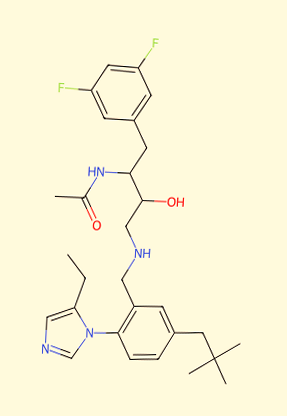 CCc1cncn1-c1ccc(CC(C)(C)C)cc1CNCC(O)C(Cc1cc(F)cc(F)c1)NC(C)=O